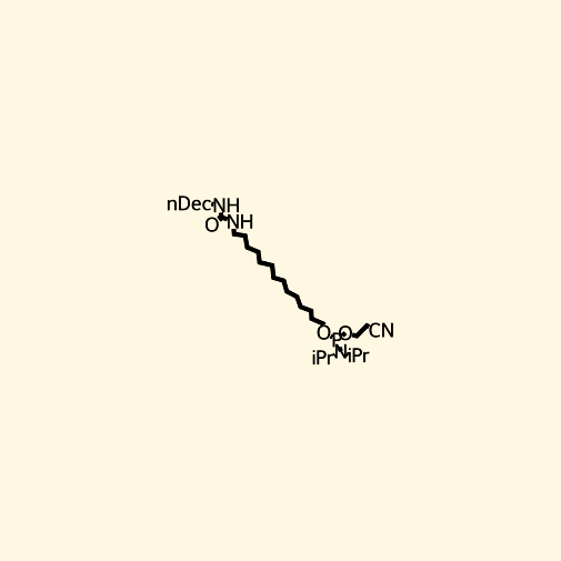 CCCCCCCCCCNC(=O)NCCCCCCCCCCCCCCOP(OCCC#N)N(C(C)C)C(C)C